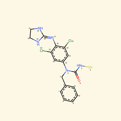 O=C(NS)N(Cc1ccccc1)c1cc(Cl)c(N=C2NCCN2)c(Cl)c1